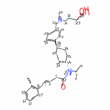 CCN(C(=O)CC=Cc1ccccc1)[C@H]1CC[C@H](c2ccc(CN(C)CCCO)cc2)CC1